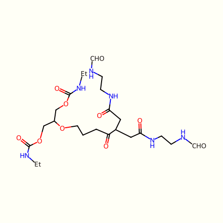 CCNC(=O)OCC(COC(=O)NCC)OCCCC(=O)C(CC(=O)NCCNC=O)CC(=O)NCCNC=O